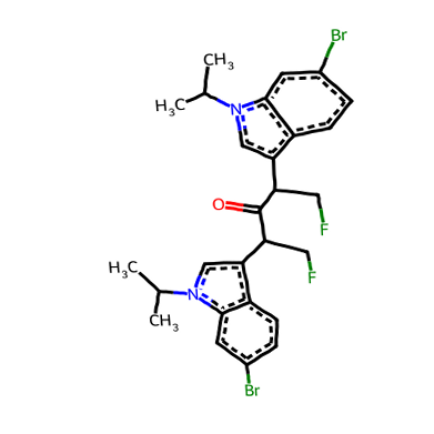 CC(C)n1cc(C(CF)C(=O)C(CF)c2cn(C(C)C)c3cc(Br)ccc23)c2ccc(Br)cc21